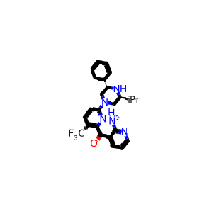 CC(C)[C@H]1CN(c2ccc(C(F)(F)F)c(C(=O)c3cccnc3N)n2)C[C@H](C2C=CC=CC2)N1